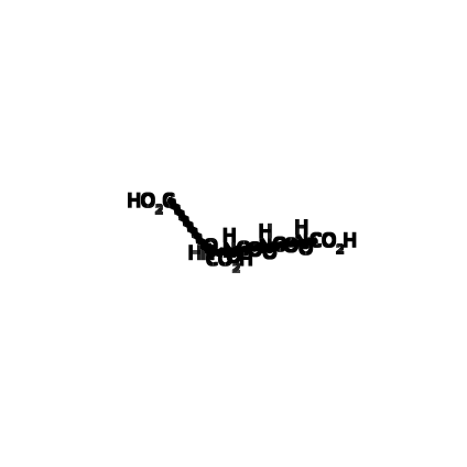 O=C(O)CCCCCCCCCCCCCCCCC(=O)N[C@@H](CCCCNC(=O)CCOCCOCCNC(=O)CCOCCOCCNC(=O)CCC(=O)O)C(=O)O